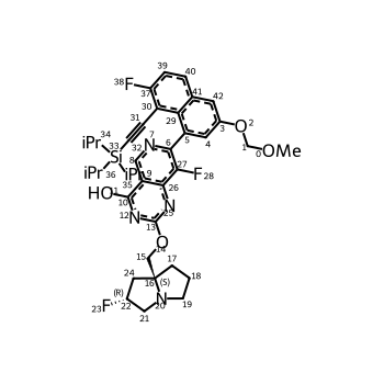 COCOc1cc(-c2ncc3c(O)nc(OC[C@@]45CCCN4C[C@H](F)C5)nc3c2F)c2c(C#C[Si](C(C)C)(C(C)C)C(C)C)c(F)ccc2c1